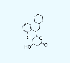 O=C1CC(O)CC(C(CC2CCCCC2)c2ccccc2Cl)O1